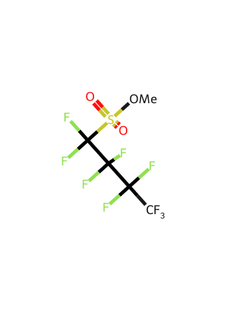 [CH2]OS(=O)(=O)C(F)(F)C(F)(F)C(F)(F)C(F)(F)F